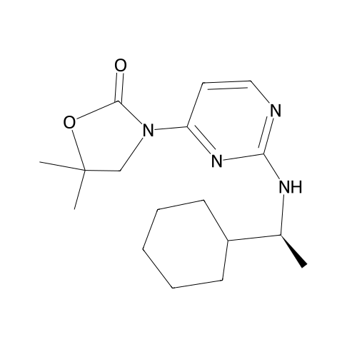 C[C@H](Nc1nccc(N2CC(C)(C)OC2=O)n1)C1CCCCC1